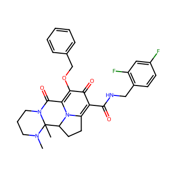 CN1CCCN2C(=O)c3c(OCc4ccccc4)c(=O)c(C(=O)NCc4ccc(F)cc4F)c4n3C(CC4)C12C